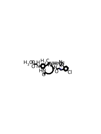 COC(=O)CNc1ccc2c(c1)NC(=O)CCCC[C@H](NC(=O)/C=C/c1cc(Cl)ccc1-n1cnnn1)c1nc-2c(C)[nH]1